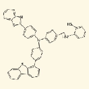 Sc1ccccc1NCc1ccc(N(c2ccc(-c3nc4ccccc4s3)cc2)c2ccc(-c3cccc4c3sc3ccccc34)cc2)cc1